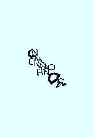 C=C[Si](C)(C)c1ccc(NC(=O)N2CCN(c3ncccc3Cl)C[C@H]2C)cc1